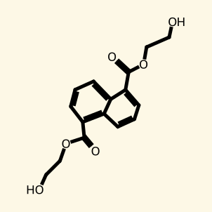 O=C(OCCO)c1cccc2c(C(=O)OCCO)cccc12